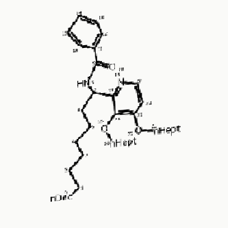 CCCCCCCCCCCCCCCCC(NC(=O)c1ccccc1)c1nccc(OCCCCCCC)c1OCCCCCCC